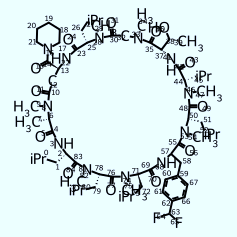 CC(C)C[C@@H]1NC(=O)[C@H](C)N(C)C(=O)C[C@@H](C(=O)N2CCCCC2)NC(=O)[C@H](CC(C)C)N(C)C(=O)CN(C)C(=O)[C@H]([C@@H](C)O)NC(=O)[C@H](C(C)C)N(C)C(=O)[C@H](CC(C)C)N(C)C(=O)C(Cc2ccc(C(F)F)cc2)NC(=O)[C@@H](CC(C)C)N(C)C(=O)[C@H](CC(C)C)N(C)C1=O